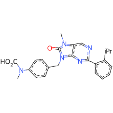 CC(C)c1ccccc1-c1ncc2c(n1)n(Cc1ccc(N(C)C(=O)O)cc1)c(=O)n2C